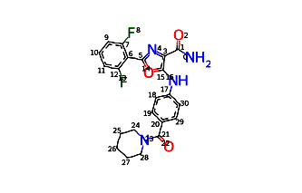 NC(=O)c1nc(-c2c(F)cccc2F)oc1Nc1ccc(C(=O)N2CCCCC2)cc1